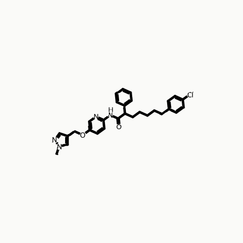 Cn1cc(COc2ccc(NC(=O)C(CCCCCc3ccc(Cl)cc3)c3ccccc3)nc2)cn1